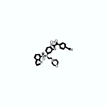 Cn1c(C(=O)c2ccc(C#N)cc2)nc2cc(N(CCN3CCOCC3)S(=O)(=O)c3cccc4cccnc34)ccc21